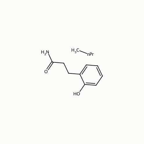 CCCC.NC(=O)CCc1ccccc1O